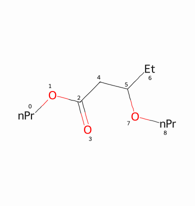 CCCOC(=O)CC(CC)OCCC